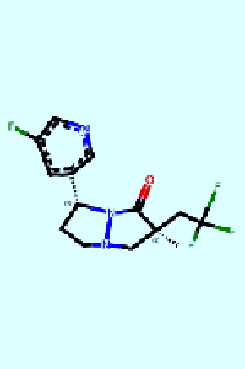 C[C@]1(CC(F)(F)F)CN2CC[C@H](c3cncc(F)c3)N2C1=O